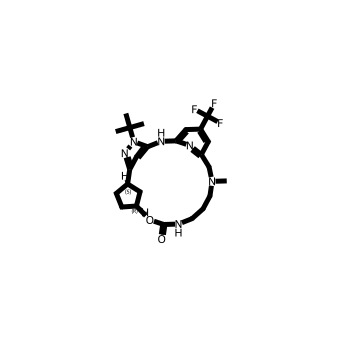 CN1CCCNC(=O)O[C@@H]2CC[C@@H](C2)c2cc(n(C(C)(C)C)n2)Nc2cc(C(F)(F)F)cc(n2)C1